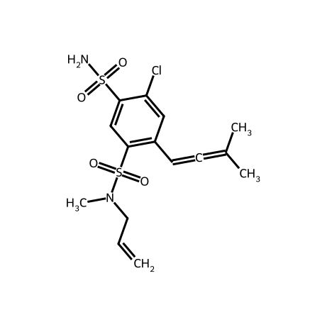 C=CCN(C)S(=O)(=O)c1cc(S(N)(=O)=O)c(Cl)cc1C=C=C(C)C